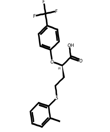 Cc1ccccc1SCC[C@@H](Oc1ccc(C(F)(F)F)cc1)C(=O)O